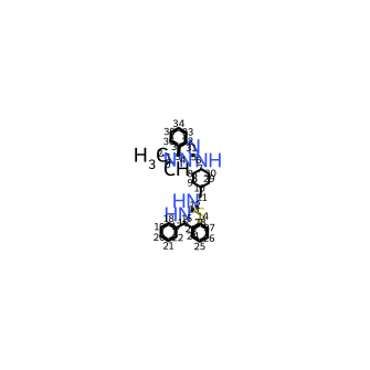 CN(C)c1nc(NC2CCC(CNC(=S)NC(c3ccccc3)c3ccccc3)CC2)nc2ccccc12